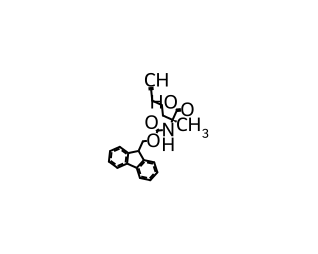 C#CCCC[C@@](C)(NC(=O)OCC1c2ccccc2-c2ccccc21)C(=O)O